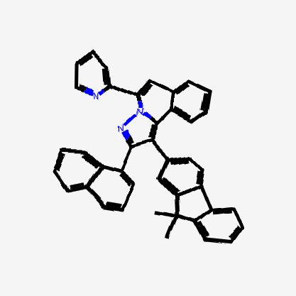 CC1(C)c2ccccc2-c2ccc(-c3c(-c4cccc5ccccc45)nn4c(-c5ccccn5)cc5ccccc5c34)cc21